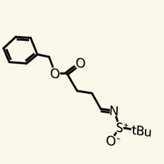 CC(C)(C)[S+]([O-])/N=C/CCC(=O)OCc1ccccc1